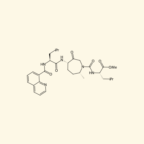 COC(=O)[C@H](CC(C)C)NC(=O)N1CC(=O)[C@@H](NC(=O)[C@H](CC(C)C)NC(=O)c2cccc3cccnc23)CC[C@H]1C